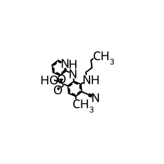 CCCCNc1c(C#N)c(C)cc(S(=O)(=O)O)c1Nc1ccccn1